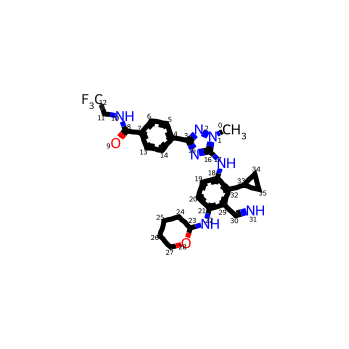 Cn1nc(-c2ccc(C(=O)NCC(F)(F)F)cc2)nc1Nc1ccc(NC2CCCCO2)c(C=N)c1C1CC1